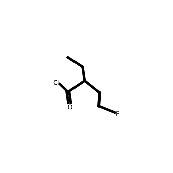 CCC(CCF)C(=O)Cl